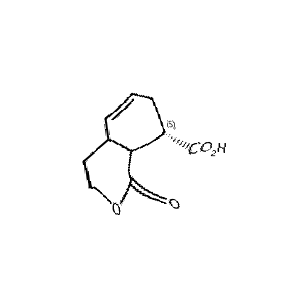 O=C1OCCC2C=CC[C@H](C(=O)O)C12